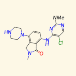 CNc1ncc(Cl)c(Nc2ccc(N3CCNCC3)c3c2C(=O)N(C)C3)n1